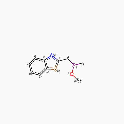 CCOP(C)Cc1nc2ccccc2s1